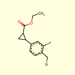 CCOC(=O)C1CC1c1ccc(CBr)c(F)c1